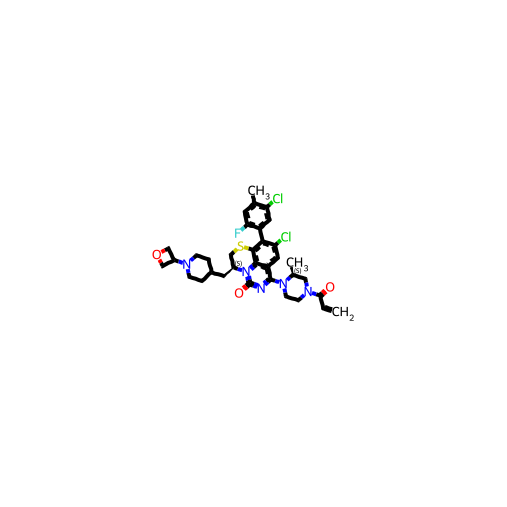 C=CC(=O)N1CCN(c2nc(=O)n3c4c(c(-c5cc(Cl)c(C)cc5F)c(Cl)cc24)SC[C@@H]3CC2CCN(C3COC3)CC2)[C@@H](C)C1